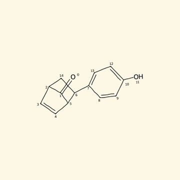 O=C1C2C=CC1C(c1ccc(O)cc1)C2